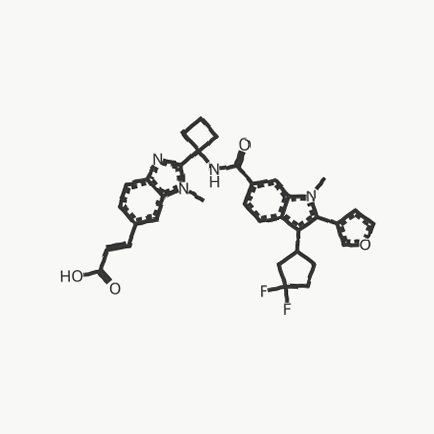 Cn1c(C2(NC(=O)c3ccc4c(C5CCC(F)(F)C5)c(-c5ccoc5)n(C)c4c3)CCC2)nc2ccc(/C=C/C(=O)O)cc21